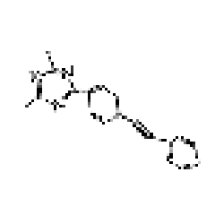 Cc1nc(C)nc(-c2ccc(C#Cc3ccccc3)cc2)n1